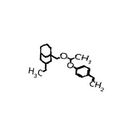 C=Cc1ccc(OC(C)OCC23CCCC(CC(CC)C2)C3)cc1